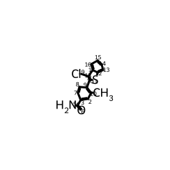 Cc1cc(C(N)=O)ccc1-c1sc2ccccc2c1Cl